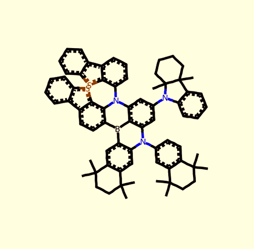 CC1(C)CCC(C)(C)c2cc(N3c4cc5c(cc4B4c6ccc7c(sc8ccccc87)c6N(c6cccc7c6sc6ccccc67)c6cc(N7c8ccccc8C8(C)CCCCC78C)cc3c64)C(C)(C)CCC5(C)C)ccc21